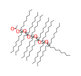 CCCCCCCC[Si](CCCCCCCC)(CCCCCCCC)O[Si](CCCCCCCC)(CCCCCCCC)O[Si](CCCCCCCC)(CCCCCCCC)O[Si](CCCCCCCC)(CCCCCCCC)O[Si](CCCCCCCC)(CCCCCCCC)O[Si](CCCCCCCC)(CCCCCCCC)OC(C)=O